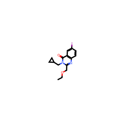 CCOCc1nc2ccc(I)cc2c(=O)n1CC1CC1